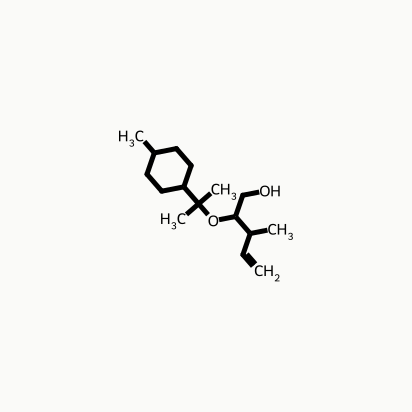 C=CC(C)C(CO)OC(C)(C)C1CCC(C)CC1